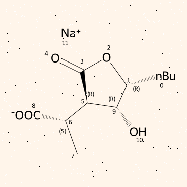 CCCC[C@H]1OC(=O)[C@H]([C@H](C)C(=O)[O-])[C@H]1O.[Na+]